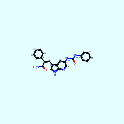 NC(=O)C(=Cc1c[nH]c2ncc(NC(=O)Nc3ccccc3)cc12)c1ccccc1